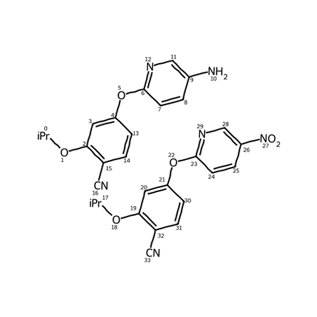 CC(C)Oc1cc(Oc2ccc(N)cn2)ccc1C#N.CC(C)Oc1cc(Oc2ccc([N+](=O)[O-])cn2)ccc1C#N